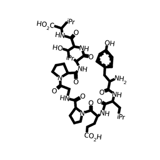 CC(C)CC(NC(=O)C(N)Cc1ccc(O)cc1)C(=O)NC(CCC(=O)O)C(=O)N1CCCC1C(=O)NCC(=O)N1CCCC1C(=O)NC(C(=O)NC(C(=O)NC(C(=O)O)C(C)C)C(C)O)C(C)C